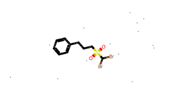 O=S(=O)(CCCc1ccccc1)C(Br)Br